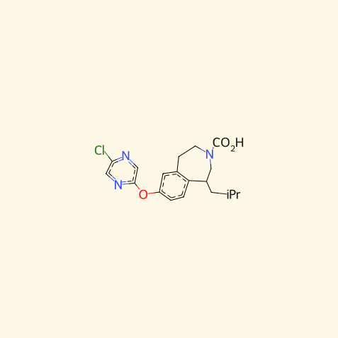 CC(C)CC1CN(C(=O)O)CCc2cc(Oc3cnc(Cl)cn3)ccc21